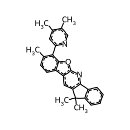 Cc1cnc(-c2c(C)ccc3c2oc2nc4c(cc23)C(C)(C)c2ccccc2-4)cc1C